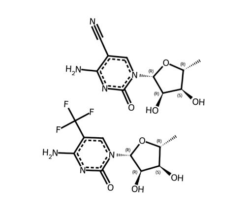 C[C@H]1O[C@@H](n2cc(C#N)c(N)nc2=O)[C@H](O)[C@@H]1O.C[C@H]1O[C@@H](n2cc(C(F)(F)F)c(N)nc2=O)[C@H](O)[C@@H]1O